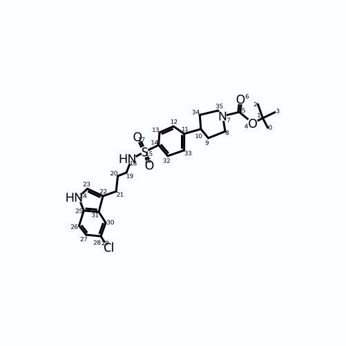 CC(C)(C)OC(=O)N1CCC(c2ccc(S(=O)(=O)NCCCc3c[nH]c4ccc(Cl)cc34)cc2)CC1